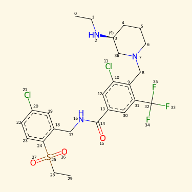 CCN[C@H]1CCCN(Cc2c(Cl)cc(C(=O)NCc3cc(Cl)ccc3S(=O)(=O)CC)cc2C(F)(F)F)C1